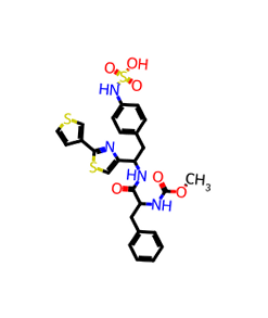 COC(=O)NC(Cc1ccccc1)C(=O)NC(Cc1ccc(NS(=O)(=O)O)cc1)c1csc(-c2ccsc2)n1